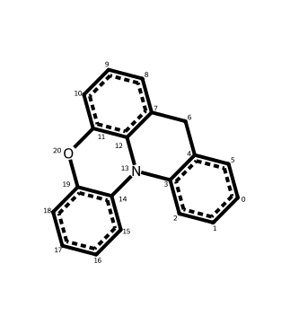 c1ccc2c(c1)Cc1cccc3c1N2c1ccccc1O3